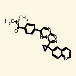 CN(C)C(=O)c1ccc(-c2cnc3nnc(C4(c5ccc6ncccc6c5)CC4)n3n2)cc1